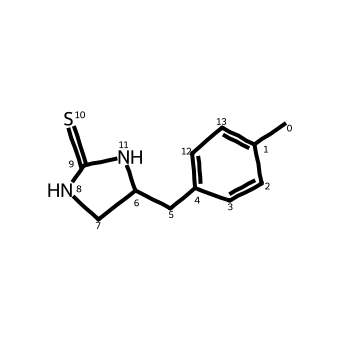 Cc1ccc(CC2CNC(=S)N2)cc1